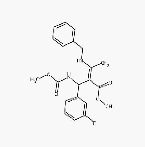 COC(=O)NC(/C(C(=O)OC)=C(/C)NCc1ccccc1)c1cccc(F)c1